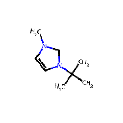 CN1C=CN(C(C)(C)C)C1